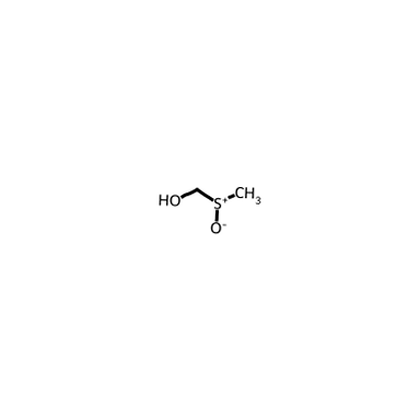 C[S+]([O-])CO